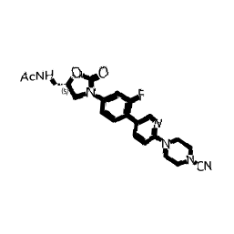 CC(=O)NC[C@H]1CN(c2ccc(-c3ccc(N4CCN(C#N)CC4)nc3)c(F)c2)C(=O)O1